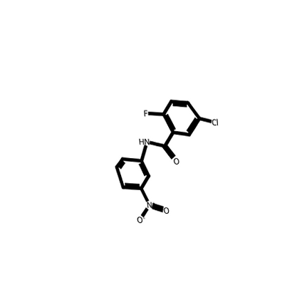 O=C(Nc1cccc([N+](=O)[O-])c1)c1cc(Cl)ccc1F